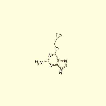 Nc1nc(OCC2CC2)c2nc[nH]c2n1